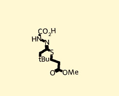 COC(=O)CCS/C(CC(C)(C)C)=N/NC(=O)O